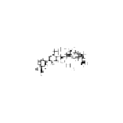 CC(C)(C(=O)Nc1ccc(-c2cncc(C(F)(F)F)c2)cc1)c1csc(NS(=O)(=O)C2CC2)n1